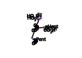 CCCCCCCC(/C=C/CCCCCCC(=O)OC(COC(=O)CCCCCCC/C=C\C=C\C(CCCCC)C1CC(=O)OC1=O)COC(=O)CCCCCCC/C=C\C/C=C\C=C\C(CC)C(CC(=O)O)C(=O)O)C(CC(=O)O)C(=O)O